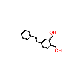 OC=c1ccc(C=Cc2ccccc2)cc1=CO